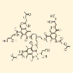 CC(=O)OCC(=O)Nc1c(I)c(C(=O)NCC(O)CO)c(I)c(C(=O)N(C)CCN(CCN(C)C(=O)c2c(I)c(NC(=O)COC(C)=O)c(I)c(C(=O)NCC(O)CO)c2I)CCN(C)C(=O)c2c(I)c(NC(=O)COC(C)=O)c(I)c(C(=O)N(C)CC(O)CO)c2I)c1I